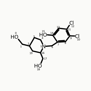 OCC1CCN(Cc2cc(Cl)c(Cl)cc2O)C(CO)C1